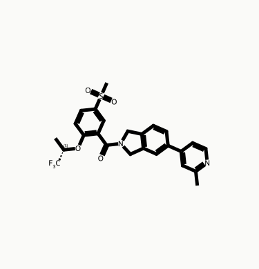 Cc1cc(-c2ccc3c(c2)CN(C(=O)c2cc(S(C)(=O)=O)ccc2O[C@@H](C)C(F)(F)F)C3)ccn1